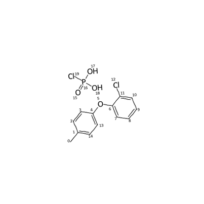 Cc1ccc(Oc2ccccc2Cl)cc1.O=P(O)(O)Cl